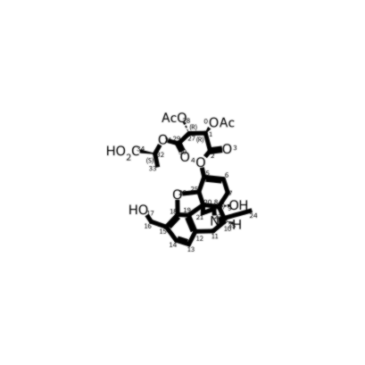 CC(=O)O[C@@H](C(=O)OC1=CC[C@@]2(O)[C@H]3Cc4ccc(CO)c5c4C2(CCN3C)C1O5)[C@@H](OC(C)=O)C(=O)O[C@@H](C)C(=O)O